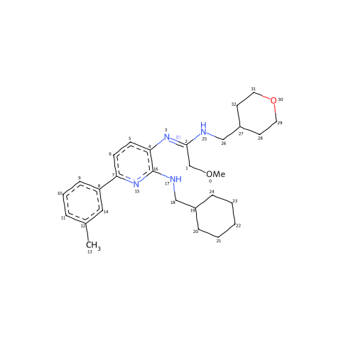 COC/C(=N\c1ccc(-c2cccc(C)c2)nc1NCC1CCCCC1)NCC1CCOCC1